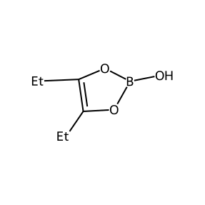 CCC1=C(CC)OB(O)O1